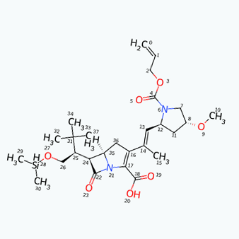 C=CCOC(=O)N1C[C@H](OC)C[C@H]1C=C(C)C1=C(C(=O)O)N2C(=O)[C@@H]([C@@H](CO[SiH](C)C)C(C)(C)C)[C@H]2C1